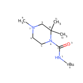 CCCCNC(=O)N1CCN(C)CC1(C)C